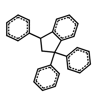 c1ccc(C2CC(c3ccccc3)(c3ccccc3)c3ccccc32)cc1